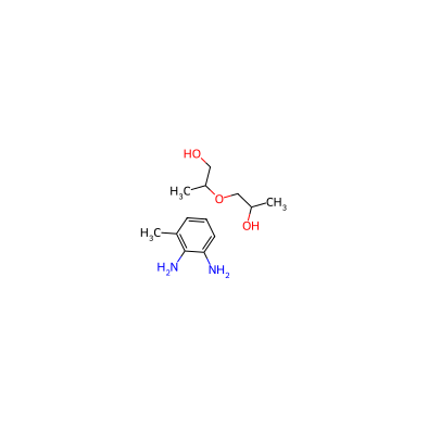 CC(O)COC(C)CO.Cc1cccc(N)c1N